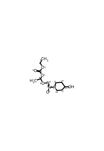 CCOC(=O)OC(C)ON=[N+]([O-])N1CCC(O)CC1